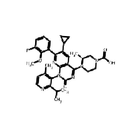 COc1c(F)cccc1-c1nc2c(cc1C1CC1)c(N1CCN(C(=O)O)C[C@@H]1C)nc(=O)n2-c1c(C)ccnc1C(C)C